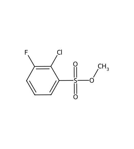 COS(=O)(=O)c1cccc(F)c1Cl